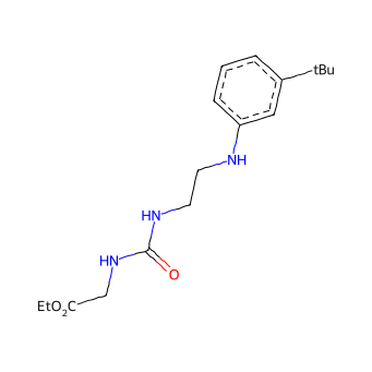 CCOC(=O)CNC(=O)NCCNc1cccc(C(C)(C)C)c1